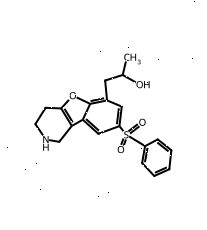 CC(O)Cc1cc(S(=O)(=O)c2ccccc2)cc2c3c(oc12)CCNC3